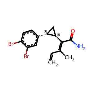 C=CC(C)=C(C(N)=O)[C@@H]1C[C@H]1c1ccc(Br)c(Br)c1